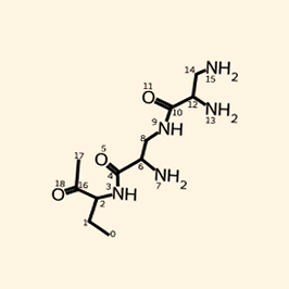 CCC(NC(=O)C(N)CNC(=O)C(N)CN)C(C)=O